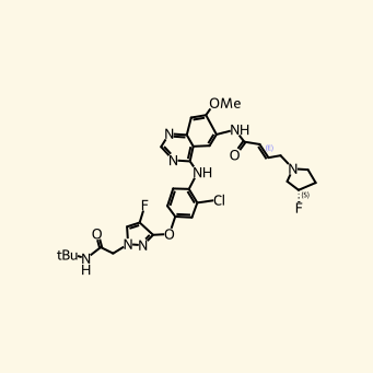 COc1cc2ncnc(Nc3ccc(Oc4nn(CC(=O)NC(C)(C)C)cc4F)cc3Cl)c2cc1NC(=O)/C=C/CN1CC[C@H](F)C1